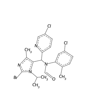 Cc1ccc(Cl)cc1N(C=O)C(c1ccc(Cl)cn1)c1c(C)nc(Br)n1C(C)C